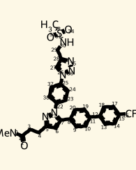 CNC(=O)CCc1cc(-c2ccc(-c3ccc(C(F)(F)F)cc3)cc2)n(-c2ccc(-n3cc(CNS(C)(=O)=O)nn3)cc2)n1